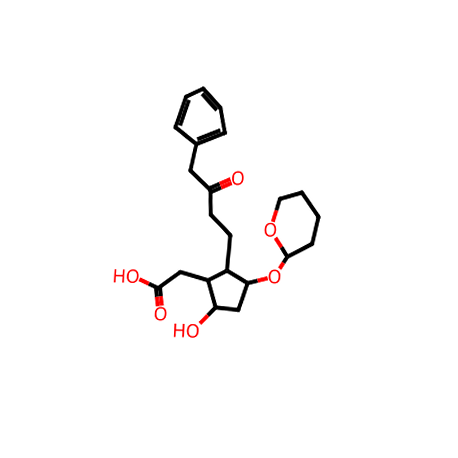 O=C(O)CC1C(O)CC(OC2CCCCO2)C1CCC(=O)Cc1ccccc1